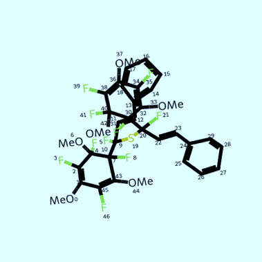 COC1=C(F)C(F)(OC)C(F)(C(F)(C=Cc2ccccc2)SC(F)(C=Cc2ccccc2)C2(F)C(OC)=C(F)C(OC)=C(F)C2(F)OC)C(OC)=C1F